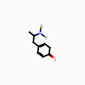 CCN(CC)C(C)CC1=CCC(=O)C=C1